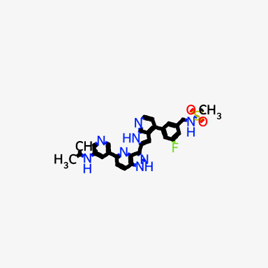 CC(C)Nc1cncc(-c2ccc3[nH]nc(-c4cc5c(-c6cc(F)cc(CNS(C)(=O)=O)c6)ccnc5[nH]4)c3n2)c1